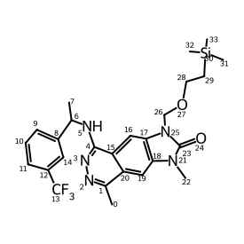 Cc1nnc(NC(C)c2cccc(C(F)(F)F)c2)c2cc3c(cc12)n(C)c(=O)n3COCC[Si](C)(C)C